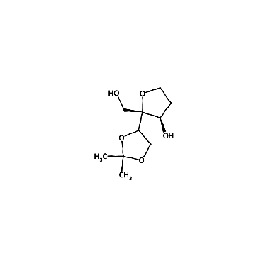 CC1(C)OCC([C@]2(CO)OCC[C@H]2O)O1